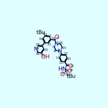 CC(C)(C)c1cc(C(=O)N2CCN(c3ccc(C(=O)NS(=O)(=O)C(C)(C)C)cc3)CC2)cc(-c2cncc(O)c2)c1